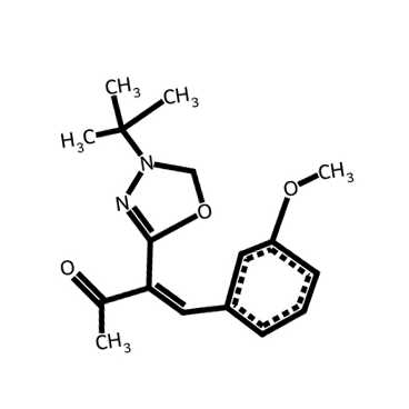 COc1cccc(/C=C(/C(C)=O)C2=NN(C(C)(C)C)CO2)c1